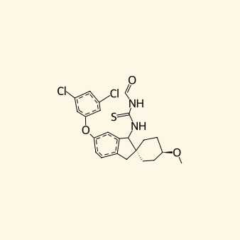 CO[C@H]1CC[C@]2(CC1)Cc1ccc(Oc3cc(Cl)cc(Cl)c3)cc1C2NC(=S)NC=O